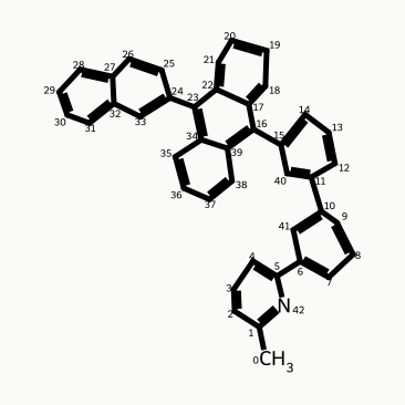 Cc1cccc(-c2cccc(-c3cccc(-c4c5ccccc5c(-c5ccc6ccccc6c5)c5ccccc45)c3)c2)n1